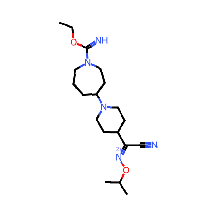 CCOC(=N)N1CCCC(N2CCC(/C(C#N)=N/OC(C)C)CC2)CC1